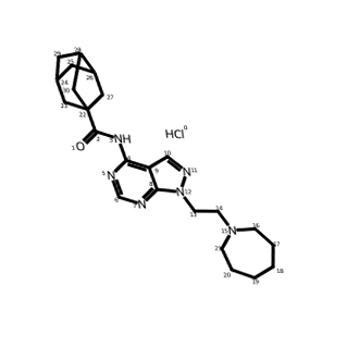 Cl.O=C(Nc1ncnc2c1cnn2CCN1CCCCCC1)C12CC3CC(C1)C(C3)C2